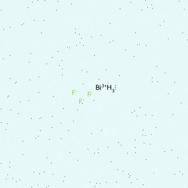 [BiH3+3].[F-].[F-].[F-]